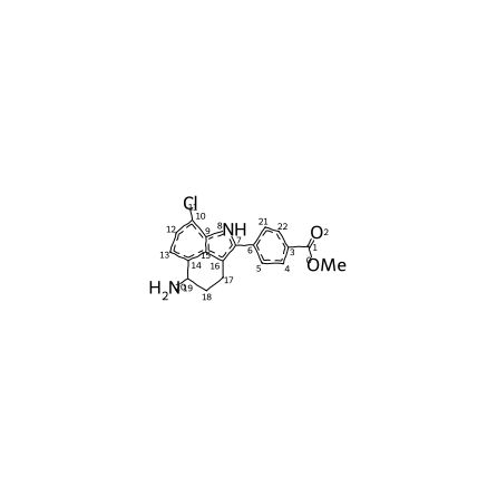 COC(=O)c1ccc(-c2[nH]c3c(Cl)ccc4c3c2CCC4N)cc1